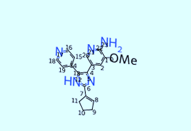 COc1cc(-c2nc(C3=CCCC3)[nH]c2-c2ccncc2)cnc1N